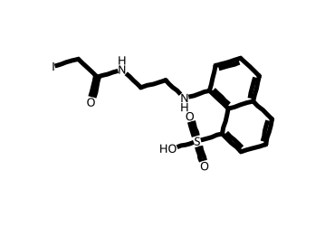 O=C(CI)NCCNc1cccc2cccc(S(=O)(=O)O)c12